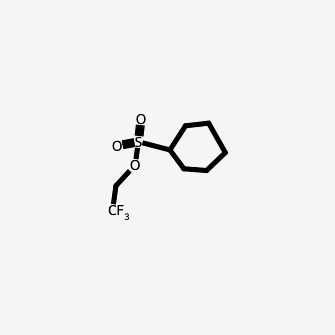 O=S(=O)(OCC(F)(F)F)C1CCCCC1